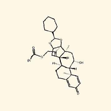 CC(C)C(=O)OCC(=O)[C@@]12O[C@H](C3CCCCC3)OC1C[C@H]1[C@@H]3CCC4=CC(=O)C=C[C@]4(C)[C@H]3[C@@H](O)C[C@@]12C